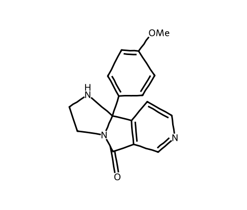 COc1ccc(C23NCCN2C(=O)c2cnccc23)cc1